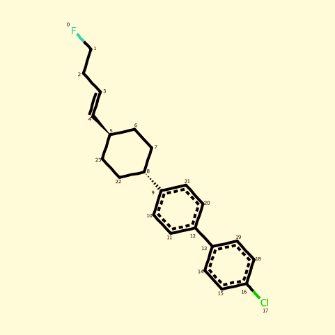 FCCC=C[C@H]1CC[C@H](c2ccc(-c3ccc(Cl)cc3)cc2)CC1